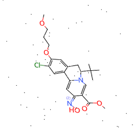 COCCCOc1cc2c(cc1Cl)-c1c/c(=N/O)c(C(=O)OC)cn1C(C(C)(C)C)C2